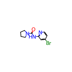 O=C(Nc1cc(Br)ccn1)N1CCCC1